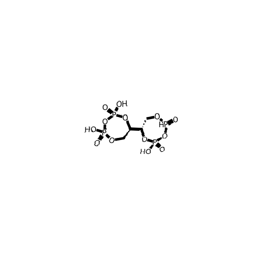 O=[PH]1OC[C@@H]([C@H]2COP(=O)(O)OP(=O)(O)O2)OP(=O)(O)O1